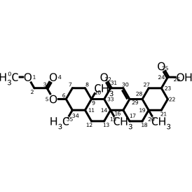 COCC(=O)OC1CCC2(C)C(CCC3(C)C4CCC5(C)CCC(C(=O)O)CC5C4=CC(=O)C32)C1C